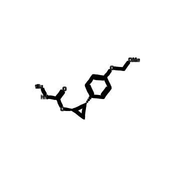 COCOc1ccc([C@@H]2C[C@H]2OC(=O)NC(C)(C)C)cc1